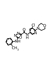 Cc1ccccc1Nc1nnc(C(=O)Nc2cnc(N3CCOCC3)c(Cl)c2)o1